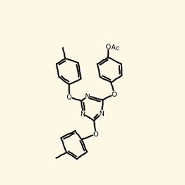 CC(=O)Oc1ccc(Oc2nc(Oc3ccc(C)cc3)nc(Oc3ccc(C)cc3)n2)cc1